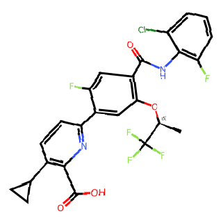 C[C@H](Oc1cc(-c2ccc(C3CC3)c(C(=O)O)n2)c(F)cc1C(=O)Nc1c(F)cccc1Cl)C(F)(F)F